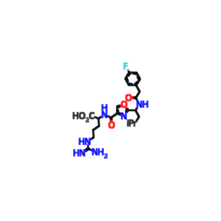 CC(C)CC(NC(=O)Cc1ccc(F)cc1)c1nc(C(=O)NC(CCCNC(=N)N)C(=O)O)co1